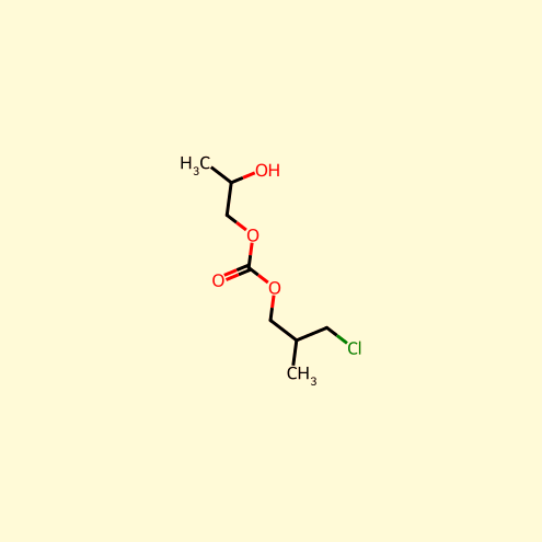 CC(O)COC(=O)OCC(C)CCl